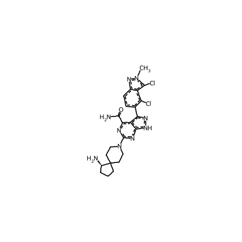 Cn1nc2ccc(-c3n[nH]c4nc(N5CCC6(CCC[C@H]6N)CC5)nc(C(N)=O)c34)c(Cl)c2c1Cl